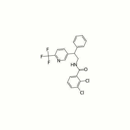 O=C(NCC(c1ccccc1)c1ccc(C(F)(F)F)nc1)c1cccc(Cl)c1Cl